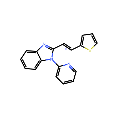 C(=C\c1nc2ccccc2n1-c1ccccn1)/c1cccs1